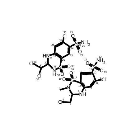 CN1C(CCl)Nc2cc(Cl)c(S(N)(=O)=O)cc2S1(=O)=O.NS(=O)(=O)c1cc2c(cc1Cl)NC(C(Cl)Cl)NS2(=O)=O